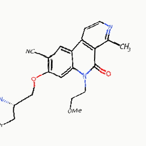 COCCn1c(=O)c2c(C)nccc2c2cc(C#N)c(OC[C@@H](N)CC(C)C)cc21